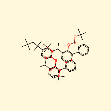 CC(c1cccc(-c2ccccc2)c1OC(=O)OC(C)(C)C)c1cc(C(C)(C)CC(C)(C)C)cc(C(C)c2cccc(-c3ccccc3)c2OC(=O)OC(C)(C)C)c1OC(=O)OC(C)(C)C